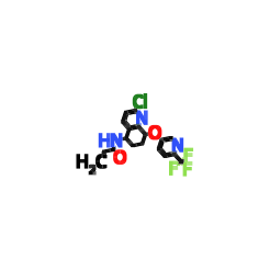 C=CC(=O)NC1CCC(Oc2ccc(C(F)(F)F)nc2)c2nc(Cl)ccc21